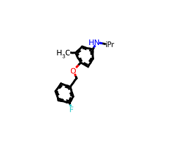 Cc1cc(NC(C)C)ccc1OCc1cccc(F)c1